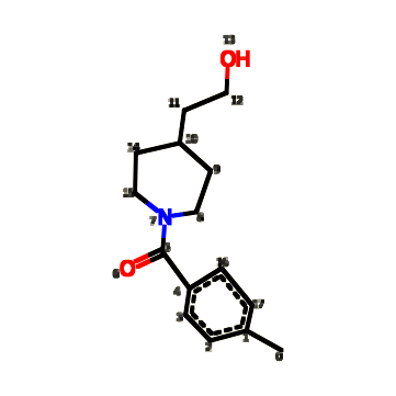 Cc1ccc(C(=O)N2CCC(CCO)CC2)cc1